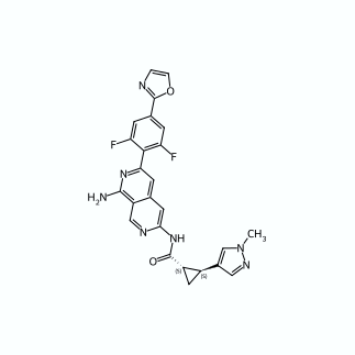 Cn1cc([C@H]2C[C@@H]2C(=O)Nc2cc3cc(-c4c(F)cc(-c5ncco5)cc4F)nc(N)c3cn2)cn1